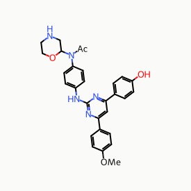 COc1ccc(-c2cc(-c3ccc(O)cc3)nc(Nc3ccc(N(C(C)=O)C4CNCCO4)cc3)n2)cc1